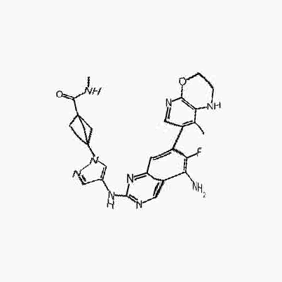 CNC(=O)C12CC(n3cc(Nc4ncc5c(N)c(F)c(-c6cnc7c(c6C)NCCO7)cc5n4)cn3)(C1)C2